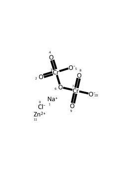 [Cl-].[Na+].[O]=[Cr](=[O])([O-])[O][Cr](=[O])(=[O])[O-].[Zn+2]